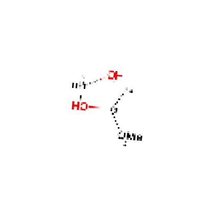 CCCO.COC(C)O